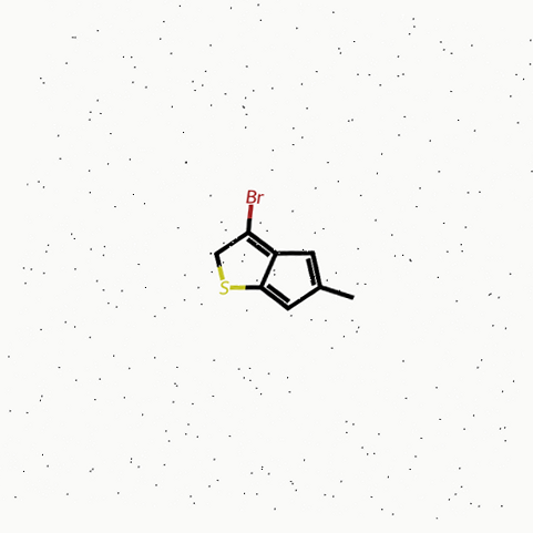 CC1=CC2=C(Br)[CH]SC2=C1